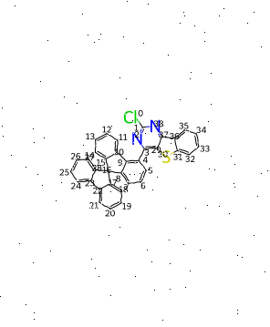 Clc1nc(-c2cccc3c2-c2ccccc2C32c3ccccc3-c3ccccc32)c2sc3ccccc3c2n1